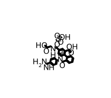 CS(=O)(=O)O.N=C(N)c1ccc(NC(=O)c2ccccc2-c2ccc(C(=O)NCC(=O)O)cc2C(=O)O)cc1